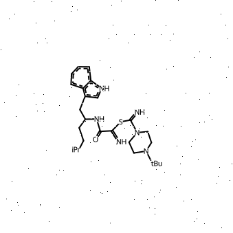 CC(C)CCC(Cc1c[nH]c2ccccc12)NC(=O)C(=N)SC(=N)N1CCN(C(C)(C)C)CC1